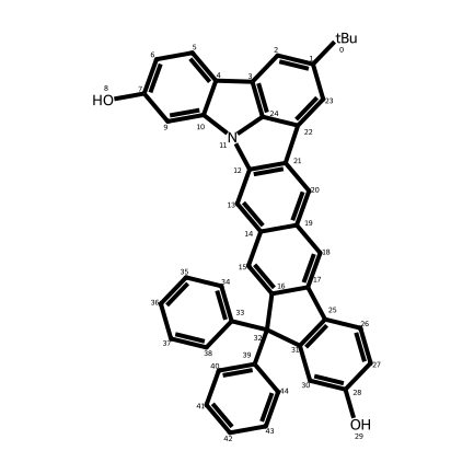 CC(C)(C)c1cc2c3ccc(O)cc3n3c4cc5cc6c(cc5cc4c(c1)c23)-c1ccc(O)cc1C6(c1ccccc1)c1ccccc1